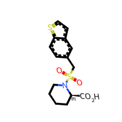 O=C(O)[C@H]1CCCCN1S(=O)(=O)Cc1ccc2sccc2c1